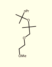 CCCC(C)(C)OC(C)(C)COCCOC